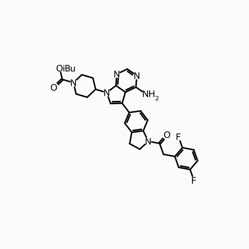 CC(C)COC(=O)N1CCC(n2cc(-c3ccc4c(c3)CCN4C(=O)Cc3cc(F)ccc3F)c3c(N)ncnc32)CC1